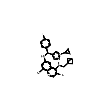 N#Cc1cnc2c(Cl)cc(NC(c3ccc(F)cc3)c3cn(C4CC4)nn3)cc2c1NCC12CC(C1)C2